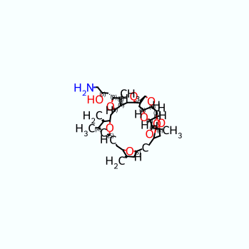 C=C1C[C@@H]2CCC34C[C@@]5(C)O[C@H]6[C@@H](O3)[C@H]3OC(CC[C@@H]3O[C@H]6[C@H]5O4)CC(=O)C[C@@H]3[C@@H](C)[C@@H](C[C@H](O)CN)O[C@H]3CC3O[C@@H](CCC1O2)C[C@@H](C)C3=C